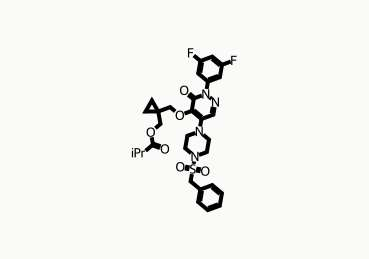 CC(C)C(=O)OCC1(COc2c(N3CCN(S(=O)(=O)Cc4ccccc4)CC3)cnn(-c3cc(F)cc(F)c3)c2=O)CC1